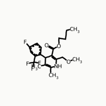 CCCCOC(=O)C1=C(COC)NC(C)=C(C)C1c1ccc(F)cc1C(F)(F)F